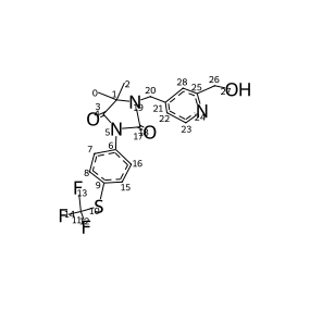 CC1(C)C(=O)N(c2ccc(SC(F)(F)F)cc2)C(=O)N1Cc1ccnc(CO)c1